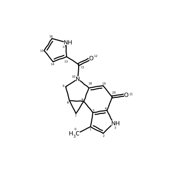 Cc1c[nH]c2c1C13CC1CN(C(=O)c1ccc[nH]1)C3=CC2=O